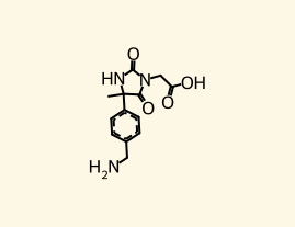 CC1(c2ccc(CN)cc2)NC(=O)N(CC(=O)O)C1=O